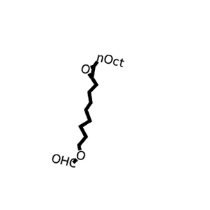 CCCCCCCCC1OC1CCCCCCCCO[C]=O